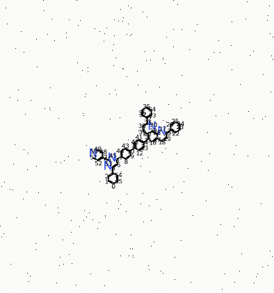 c1ccc(-c2cc(-c3ccc(-c4ccc(-c5cc6ccc(-c7ccccc7)nc6c6nc(-c7ccccc7)ccc56)cc4)cc3)nc(-c3ccncc3)n2)cc1